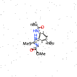 CCCCC(=O)Nc1ccc(CCCC)cc1NC(=NC(=O)OC)SC